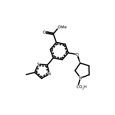 COC(=O)c1cc(O[C@H]2CCN(C(=O)O)C2)cc(-c2ncc(C)s2)c1